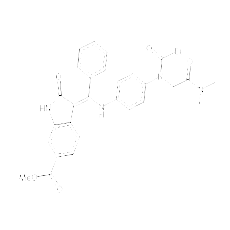 CCC(=O)N(CC(=O)N(C)C)c1ccc(NC(=C2C(=O)Nc3cc(C(=O)OC)ccc32)c2ccccc2)cc1